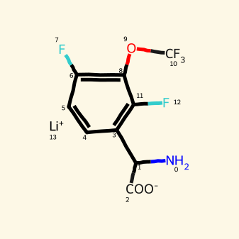 NC(C(=O)[O-])c1ccc(F)c(OC(F)(F)F)c1F.[Li+]